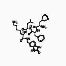 CC(C)C[C@@H](NC(=O)[C@@H](Cc1ccccc1)NC(=O)[C@H](N)Cc1ccccc1)C(=O)N[C@H](CCCCCN)C(=O)NCc1ccc2[nH]c(=O)[nH]c2c1